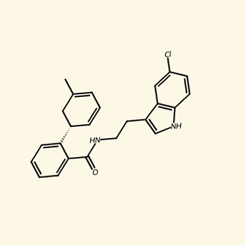 CC1=CC=C[C@H](c2ccccc2C(=O)NCCc2c[nH]c3ccc(Cl)cc23)C1